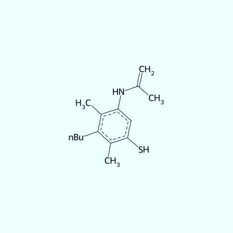 C=C(C)Nc1cc(S)c(C)c(CCCC)c1C